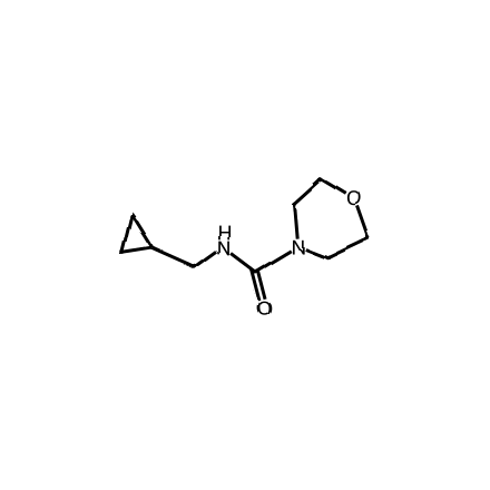 O=C(NCC1CC1)N1CCOCC1